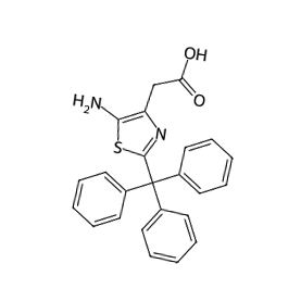 Nc1sc(C(c2ccccc2)(c2ccccc2)c2ccccc2)nc1CC(=O)O